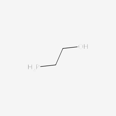 OCC[PH4]